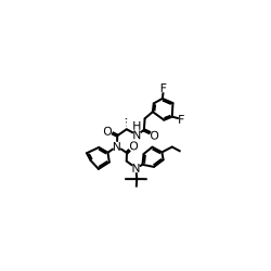 CCc1ccc(N(CC(=O)N(C(=O)[C@H](C)NC(=O)Cc2cc(F)cc(F)c2)c2ccccc2)C(C)(C)C)cc1